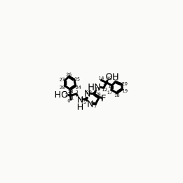 CC(O)(CNc1ncc(F)c(NCC(C)(O)c2ccccc2)n1)c1ccccc1